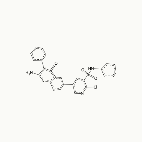 Nc1nc2ccc(-c3cnc(Cl)c(S(=O)(=O)Nc4ccccc4)c3)cc2c(=O)n1-c1ccccc1